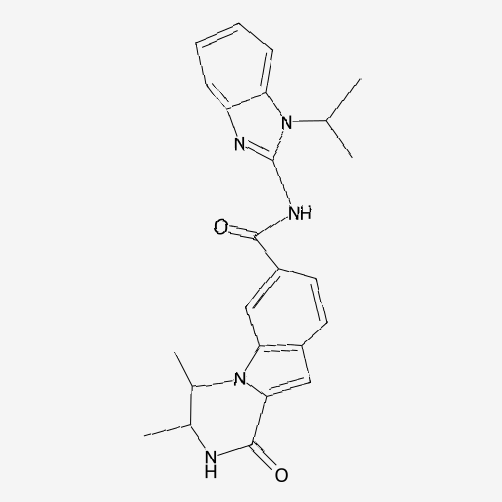 CC1NC(=O)c2cc3ccc(C(=O)Nc4nc5ccccc5n4C(C)C)cc3n2C1C